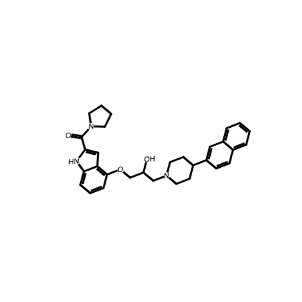 O=C(c1cc2c(OCC(O)CN3CCC(c4ccc5ccccc5c4)CC3)cccc2[nH]1)N1CCCC1